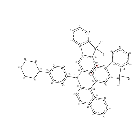 CC1(C)c2ccccc2-c2cc(N(c3ccc(C4CCCCC4)cc3)c3ccc4ccccc4c3-c3ccc4c(c3)C(C)(C)c3ccccc3-4)ccc21